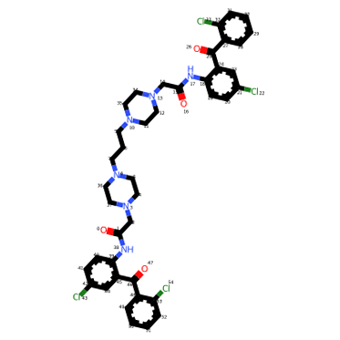 O=C(CN1CCN(CCCN2CCN(CC(=O)Nc3ccc(Cl)cc3C(=O)c3ccccc3Cl)CC2)CC1)Nc1ccc(Cl)cc1C(=O)c1ccccc1Cl